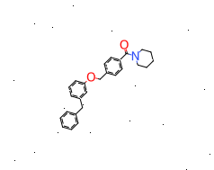 O=C(c1ccc(COc2cccc(Cc3ccccc3)c2)cc1)N1CCCCC1